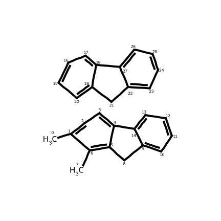 Cc1ccc2c(c1C)Cc1ccccc1-2.c1ccc2c(c1)Cc1ccccc1-2